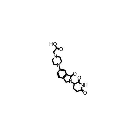 O=C(O)CN1CCN(c2ccc3c(c2)C(=O)N(C2CCC(=O)NC2=O)C3)CC1